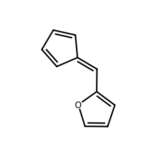 C1=CC(=Cc2ccco2)C=C1